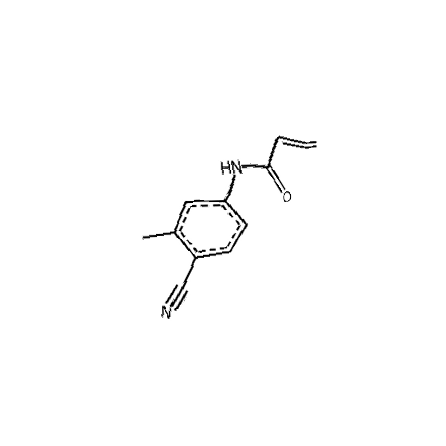 C=CC(=O)Nc1ccc(C#N)c(C)c1